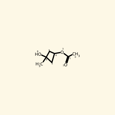 CC(=O)OC1CC(C)(O)C1